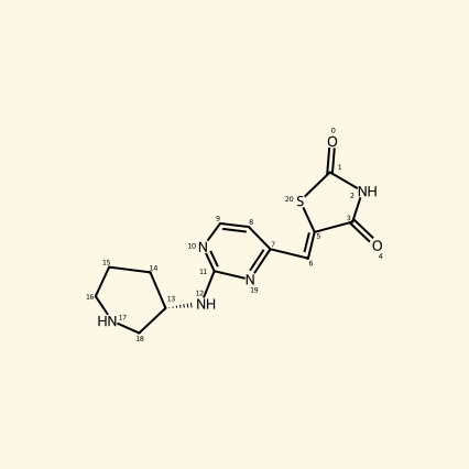 O=C1NC(=O)/C(=C/c2ccnc(N[C@H]3CCCNC3)n2)S1